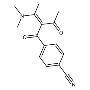 CC(=O)C(C(=O)c1ccc(C#N)cc1)=C(C)N(C)C